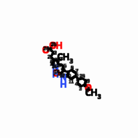 COc1ccc(-c2ccc3c(c2)NC(=O)C3=Cc2[nH]cc(CCC(=O)O)c2C)cc1